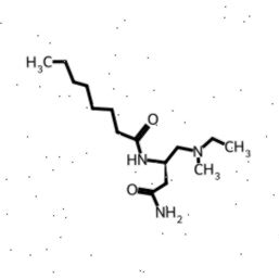 CCCCCCCC(=O)N[C@H](CC(N)=O)CN(C)CC